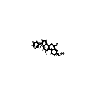 C[C@]12CC/C(=N/O)C=C1C(F)CC1C2CC[C@]2(C)C(c3cccnc3)=CCC12